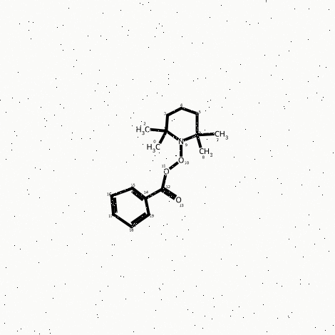 CC1(C)CCCC(C)(C)N1OOC(=O)c1ccccc1